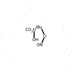 CC(C)(C)ON=O.O=C(O)O